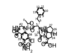 CCOC(=O)[C@H](CCc1ccccc1)N[C@@H](C)C(=O)N1[C@H](C(=O)O)C[C@@H]2CCC[C@@H]21.NS(=O)(=O)c1cc2c(cc1Cl)NCNS2(=O)=O